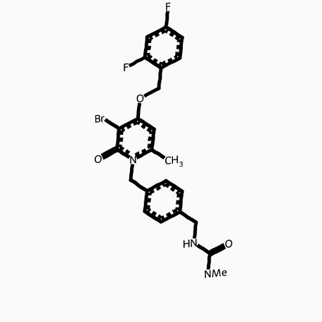 CNC(=O)NCc1ccc(Cn2c(C)cc(OCc3ccc(F)cc3F)c(Br)c2=O)cc1